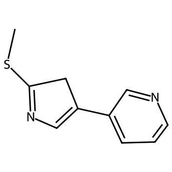 CSC1=NC=C(c2cccnc2)C1